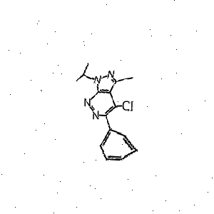 Cc1nn(C(C)C)c2nnc(-c3ccccc3)c(Cl)c12